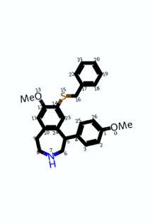 COc1ccc(C2CNCCc3cc(OC)c(SCc4ccccc4)cc32)cc1